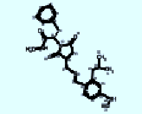 CNC(=O)[C@H](Cc1ccccc1)N1C(=O)C[C@@H](CSCc2ccc(NO)cc2CC(C)C)C1=O